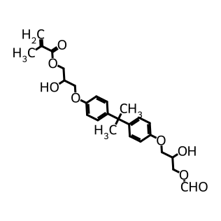 C=C(C)C(=O)OCC(O)COc1ccc(C(C)(C)c2ccc(OCC(O)COC=O)cc2)cc1